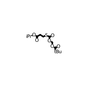 CC(C)OC(=O)CCSC(=O)OCOC(=O)C(C)(C)C